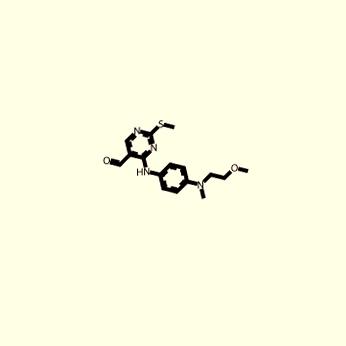 COCCN(C)c1ccc(Nc2nc(SC)ncc2C=O)cc1